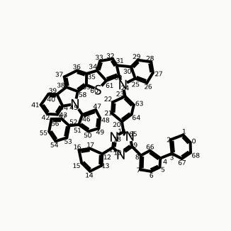 c1ccc(-c2cccc(-c3nc(-c4ccccc4)nc(-c4ccc(-n5c6ccccc6c6ccc7c8ccc9c%10ccccc%10n(-c%10ccccc%10-c%10ccccc%10)c9c8sc7c65)cc4)n3)c2)cc1